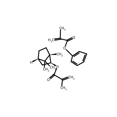 C=C(C)C(=O)O[C@H]1C[C@@H]2CC[C@@]1(C)C2(C)C.C=C(C)C(=O)Oc1ccccc1